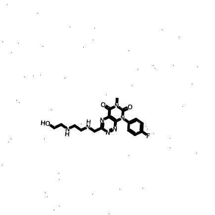 Cn1c(=O)c2nc(CNCCNCCO)nnc2n(-c2ccc(F)cc2)c1=O